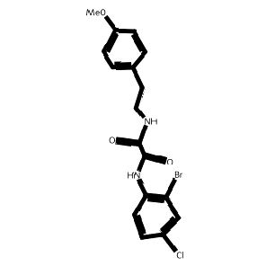 COc1ccc(CCNC(=O)C(=O)Nc2ccc(Cl)cc2Br)cc1